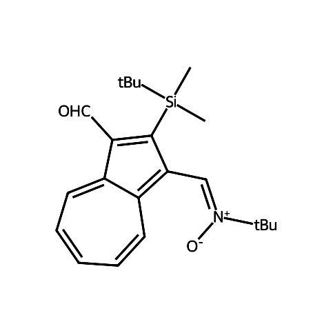 CC(C)(C)/[N+]([O-])=C/c1c2cccccc-2c(C=O)c1[Si](C)(C)C(C)(C)C